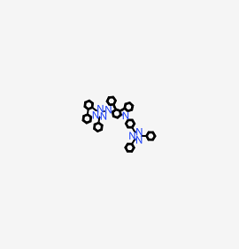 c1ccc(-c2nc(-c3ccccc3)nc(-c3ccc(-n4c5ccccc5c5c6c7ccccc7n(-c7nc(-c8ccccc8)nc(-c8ccccc8-c8ccccc8)n7)c6ccc54)cc3)n2)cc1